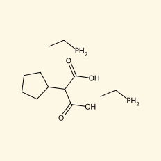 CCP.CCP.O=C(O)C(C(=O)O)C1CCCC1